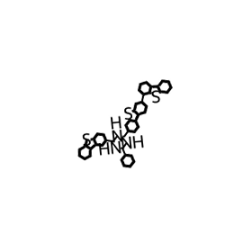 c1ccc(C2NC(c3ccc4c(c3)sc3cc(-c5cccc6c5sc5ccccc56)ccc34)NC(c3ccc4sc5ccccc5c4c3)N2)cc1